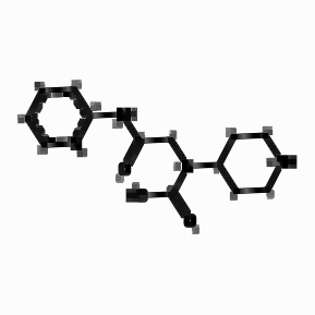 O=C(CN(C(=O)O)C1CCNCC1)Nc1ccccn1